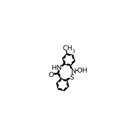 Cc1ccc2c(c1)[nH]c(=O)c1ccccc1sn2O